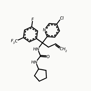 C=CCC(NC(=O)NC1CCCC1)(c1cc(F)cc(C(F)(F)F)c1)c1ccc(Cl)cn1